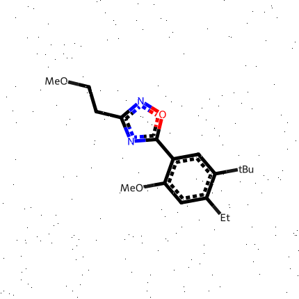 CCc1cc(OC)c(-c2nc(CCOC)no2)cc1C(C)(C)C